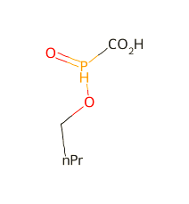 CCCCO[PH](=O)C(=O)O